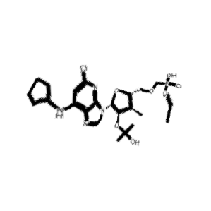 CCOP(=O)(O)COC[C@H]1O[C@@H](n2cnc3c(NC4CCCC4)cc(Cl)nc32)[C@H](OC(C)(C)O)[C@@H]1C